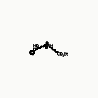 CCOC(=O)CCCCCCNS(=O)(=O)CCCCC(O)COc1ccccc1